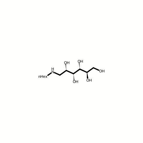 [CH2]CCCCCNC[C@H](O)[C@@H](O)[C@H](O)[C@H](O)CO